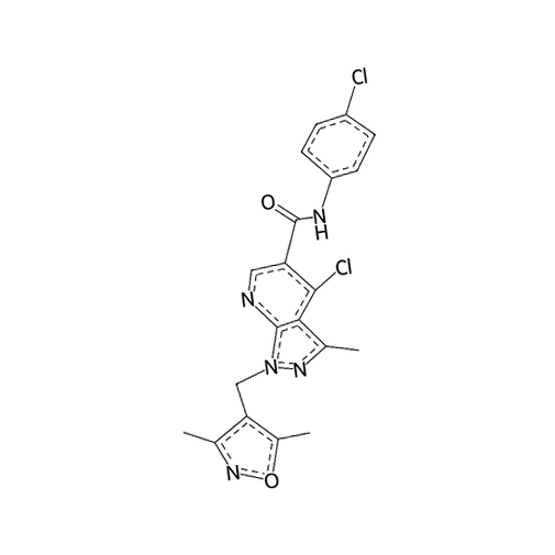 Cc1noc(C)c1Cn1nc(C)c2c(Cl)c(C(=O)Nc3ccc(Cl)cc3)cnc21